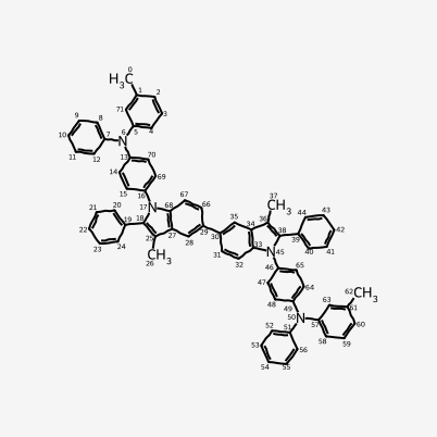 Cc1cccc(N(c2ccccc2)c2ccc(-n3c(-c4ccccc4)c(C)c4cc(-c5ccc6c(c5)c(C)c(-c5ccccc5)n6-c5ccc(N(c6ccccc6)c6cccc(C)c6)cc5)ccc43)cc2)c1